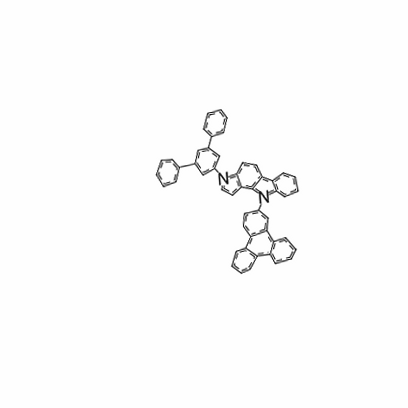 c1ccc(-c2cc(-c3ccccc3)cc(-n3ccc4c3ccc3c5ccccc5n(-c5ccc6c7ccccc7c7ccccc7c6c5)c34)c2)cc1